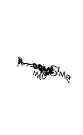 COc1cc(OC)c(-c2cn3ccc(N4CCN(Cc5ccncc5F)CC4)cc3n2)cc1Cl